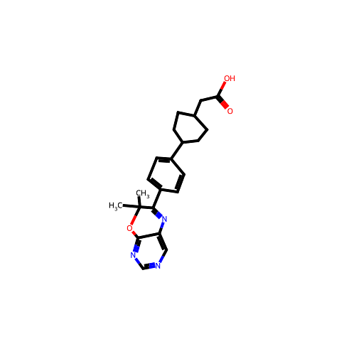 CC1(C)Oc2ncncc2N=C1c1ccc(C2CCC(CC(=O)O)CC2)cc1